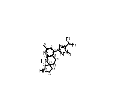 Cc1cc(-c2nc(C(F)F)n(C)n2)c2c(n1)NC1(CCNC1)CC2